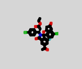 CCOC(=O)C[C@@H](c1ccc(Cl)cc1)N1C(=O)c2cc(C(C)=O)cc(F)c2[C@]1(O[C@H]1CCC(=O)C1)c1ccc(Cl)cc1